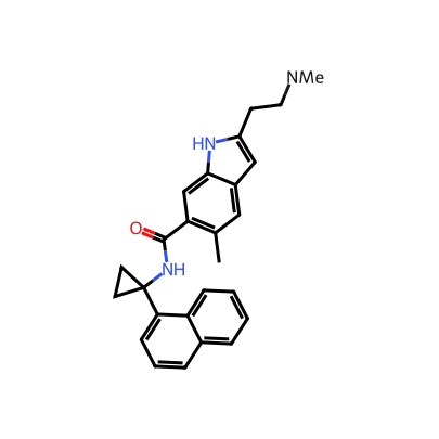 CNCCc1cc2cc(C)c(C(=O)NC3(c4cccc5ccccc45)CC3)cc2[nH]1